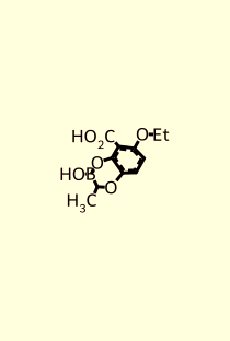 CCOc1ccc2c(c1C(=O)O)OB(O)C(C)O2